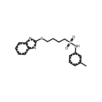 Cc1cccc(NS(=O)(=O)CCCCSc2nc3ccccc3s2)c1